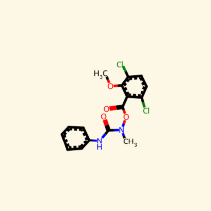 COc1c(Cl)ccc(Cl)c1C(=O)ON(C)C(=O)Nc1ccccc1